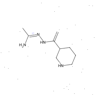 C=C(N/N=C(/C)N)C1CCCNC1